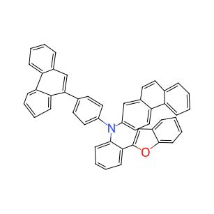 c1ccc(N(c2ccc(-c3cc4ccccc4c4ccccc34)cc2)c2ccc3c(ccc4ccccc43)c2)c(-c2cc3ccccc3o2)c1